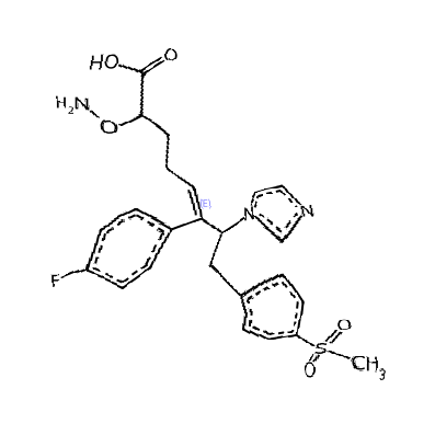 CS(=O)(=O)c1ccc(CC(/C(=C/CCC(ON)C(=O)O)c2ccc(F)cc2)n2ccnc2)cc1